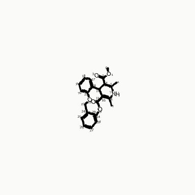 COC(=O)C1=C(C)NC(C)=C(C(=O)OC)C1c1ccccc1OCc1ccccc1